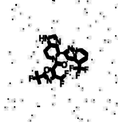 CC(C)(F)c1nc(C(F)F)c(C(=O)N2CCc3[nH]cnc3[C@H]2c2cc3c(C(F)(F)F)cccn3n2)o1